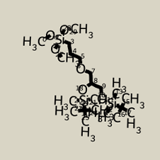 CO[Si](CCCOCC(CO[Si](C)(C)C(C)(C)C)O[Si](C)(C)C(C)(C)C)(OC)OC